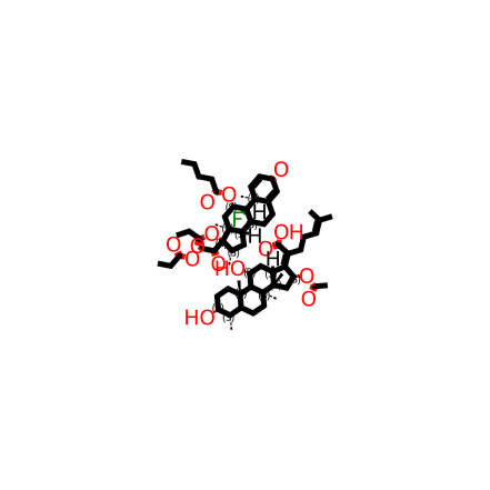 CC(=O)O[C@H]1C[C@@]2(C)[C@H](C[C@@H](O)C3[C@@]4(C)CC[C@@H](O)[C@@H](C)C4CC[C@@]32C)C1=C(CCC=C(C)C)C(=O)O.CCCCC(=O)O[C@H]1C[C@@]2(C)[C@@H](C[C@H](C)[C@]2(OC(=O)CC)C(=O)COC(=O)CC)[C@@H]2CCC3=CC(=O)C=C[C@]3(C)C12F